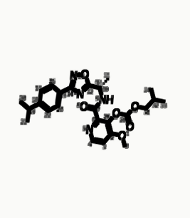 COc1ccnc(C(=O)N[C@@H](C)c2nc(-c3ccc(C(C)C)cc3)no2)c1OC(=O)OCC(C)C